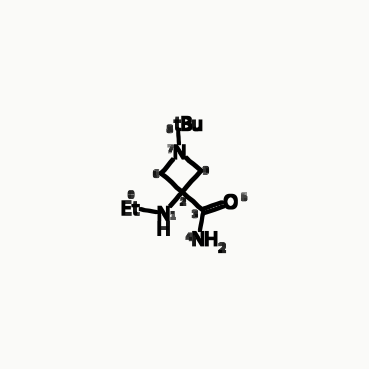 CCNC1(C(N)=O)CN(C(C)(C)C)C1